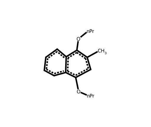 CCCOc1cc(C)c(OCCC)c2ccccc12